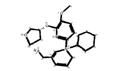 COc1ccc([N+]2(C3CCCCC3)C=C(CN)C=CC2)nc1O[C@@H]1CCOC1